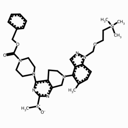 Cc1ccc2c(cnn2COCC[Si](C)(C)C)c1N1CCc2c(nc([S+](C)[O-])nc2N2CCN(C(=O)OCc3ccccc3)CC2)C1